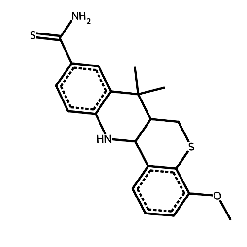 COc1cccc2c1SCC1C2Nc2ccc(C(N)=S)cc2C1(C)C